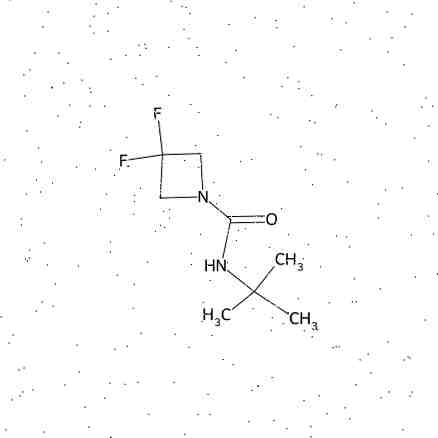 CC(C)(C)NC(=O)N1CC(F)(F)C1